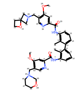 COc1cc(C(=O)Nc2cccc(-c3cccc(NC(=O)c4cc(OC)c(CN5CC6(CCO6)C5)cn4)c3C)c2C)ncc1CN1CCCOC1